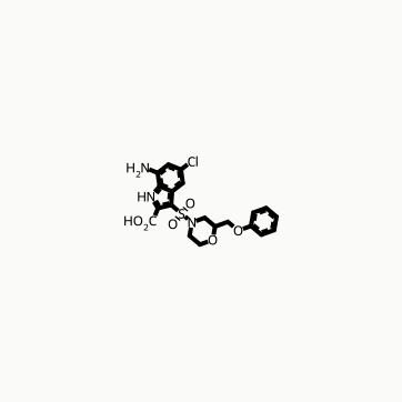 Nc1cc(Cl)cc2c(S(=O)(=O)N3CCOC(COc4ccccc4)C3)c(C(=O)O)[nH]c12